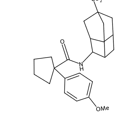 COc1ccc(C2(C(=O)NC3C4CC5CC3CC(C(=O)O)(C5)C4)CCCC2)cc1